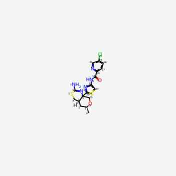 C[C@H]1C[C@H]2CSC(N)=NC2(c2nc(NC(=O)c3ccc(Cl)cn3)cs2)CO1